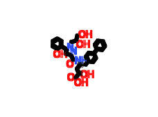 O=C(N[C@H](Cc1ccc(-c2ccccc2)cc1)C[C@@H](O)C(=O)O)c1cc(-c2ccccc2O)n(CC(O)CO)n1